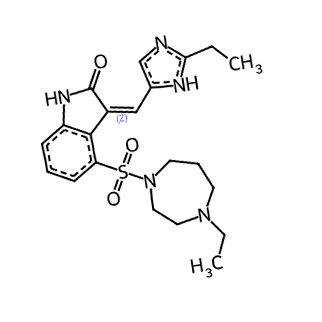 CCc1ncc(/C=C2\C(=O)Nc3cccc(S(=O)(=O)N4CCCN(CC)CC4)c32)[nH]1